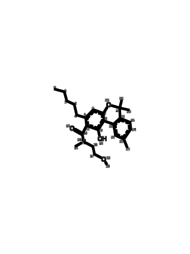 CCCCCc1cc2c(c(O)c1C(=O)N(C)CCOC)-c1cc(C)ccc1C(C)(C)O2